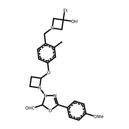 CCC1(O)CN(Cc2ccc(OC3CCN3N3N=C(c4ccc(OC)cc4)OC3C=O)cc2C)C1